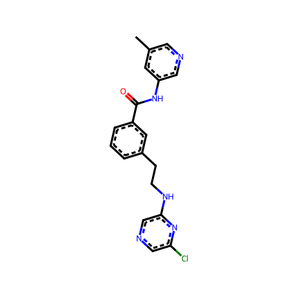 Cc1cncc(NC(=O)c2cccc(CCNc3cncc(Cl)n3)c2)c1